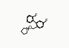 Fc1ccc(CON2CCCC2)c(-c2ccccc2F)c1